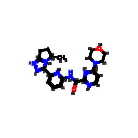 C[C@H]1CCc2nnc(-c3cccc(NC(=O)c4nccc(N5CCOCC5)n4)n3)n21